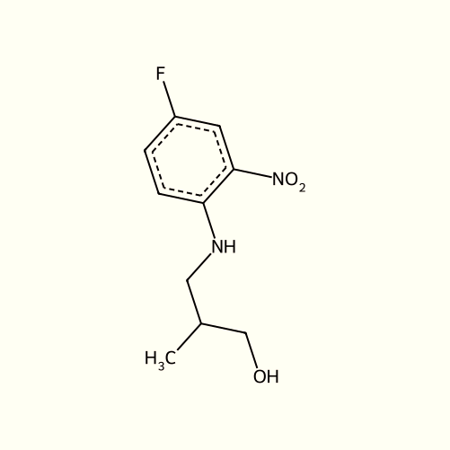 CC(CO)CNc1ccc(F)cc1[N+](=O)[O-]